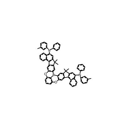 Cc1cccc(N(c2ccccc2)c2cc3c(c4ccccc24)-c2cc4c(cc2C3(C)C)B2c3cc5c(cc3Oc3cccc(c32)O4)-c2c(cc(N(c3ccccc3)c3cccc(C)c3)c3ccccc23)C5(C)C)c1